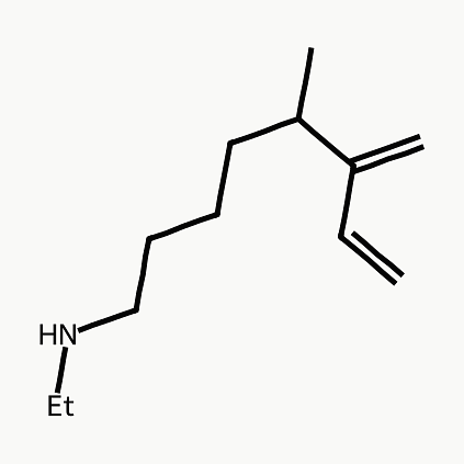 C=CC(=C)C(C)CCCCNCC